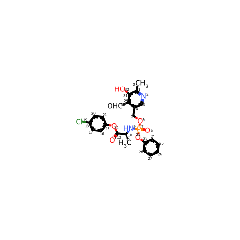 Cc1ncc(COP(=O)(N[C@@H](C)C(=O)Oc2ccc(Cl)cc2)Oc2ccccc2)c(C=O)c1O